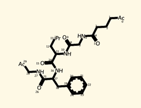 CC(=O)CCCC(=O)NCC(=O)NC(CC(C)C)C(=O)NC(Cc1ccccc1)C(=O)NCC(C)=O